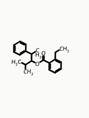 CCc1ccccc1C(=O)OC(C(C)C)C(C)c1ccccc1